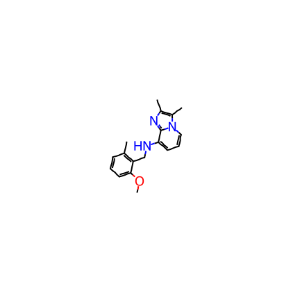 COc1cccc(C)c1CNc1cccn2c(C)c(C)nc12